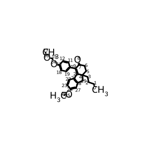 CCCCC12CCC(=O)C(c3ccc(OCOC)cc3)=C1c1ccc(OC)cc1C2